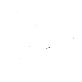 CC(C)C(=O)O[C@H]1[C@H](c2ccc3c(N)ncnn23)O[C@](C#N)(COCN[C@@H](C)C(=O)O[C@@H]2CCOC2)[C@H]1OC(=O)C(C)C